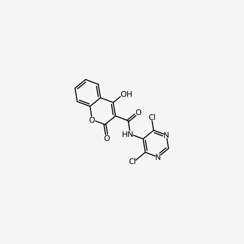 O=C(Nc1c(Cl)ncnc1Cl)c1c(O)c2ccccc2oc1=O